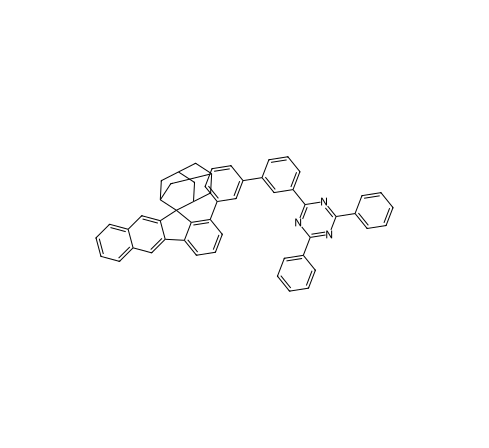 c1ccc(-c2nc(-c3ccccc3)nc(-c3cccc(-c4cccc(-c5cccc6c5C5(c7cc8ccccc8cc7-6)C6CC7CC(C6)CC5C7)c4)c3)n2)cc1